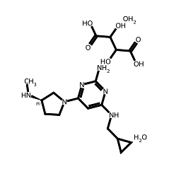 CN[C@@H]1CCN(c2cc(NCC3CC3)nc(N)n2)C1.O.O.O=C(O)C(O)C(O)C(=O)O